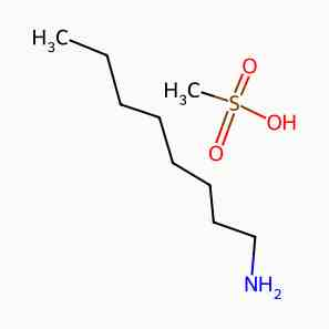 CCCCCCCCN.CS(=O)(=O)O